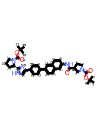 CC(C)(C)OC(=O)N1CCC(C(=O)Nc2ccc3cc(-c4ccc(-c5c[nH]c([C@@H]6CCCN6C(=O)OC(C)(C)C)n5)cc4)ccc3c2)C1